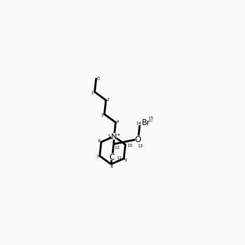 CCCCC[N+]12CCC(CC1)CC2OC.[Br-]